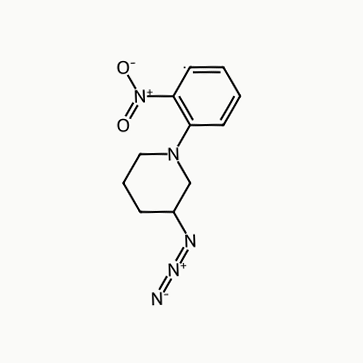 [N-]=[N+]=NC1CCCN(c2ccc[c]c2[N+](=O)[O-])C1